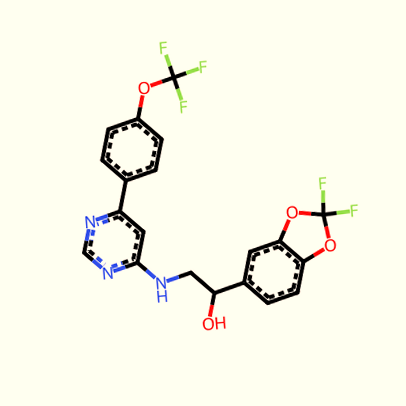 OC(CNc1cc(-c2ccc(OC(F)(F)F)cc2)ncn1)c1ccc2c(c1)OC(F)(F)O2